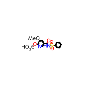 COc1cc(C(=O)NS(=O)(=O)c2ccccc2)cnc1OC(=O)O